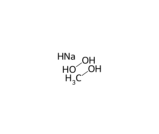 CO.OO.[NaH]